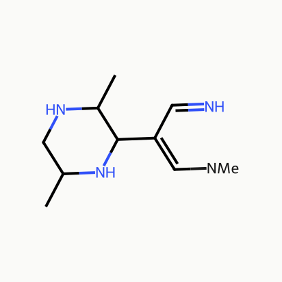 CN/C=C(\C=N)C1NC(C)CNC1C